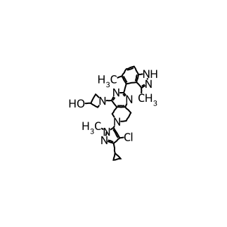 Cc1ccc2[nH]nc(C)c2c1-c1nc2c(c(N3CC(O)C3)n1)CN(c1c(Cl)c(C3CC3)nn1C)CC2